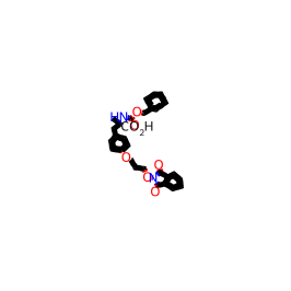 C[C@@](Cc1ccc(OCCCON2C(=O)c3ccccc3C2=O)cc1)(NC(=O)OCc1ccccc1)C(=O)O